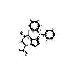 C[C@@H](C1C=CC=C1P(c1ccccc1)c1ccccc1)N(C)CCN(C)C